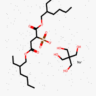 CCCCC(CC)COC(=O)CC(C(=O)OCC(CC)CCCC)S(=O)(=O)[O-].OCC(CO)(CO)CO.[Na+]